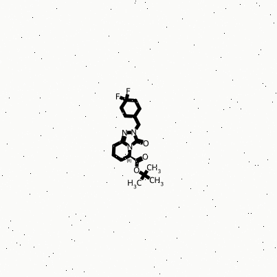 CC(C)(C)OC(=O)[C@H]1CCCc2nn(CC3CCC(F)(F)CC3)c(=O)n21